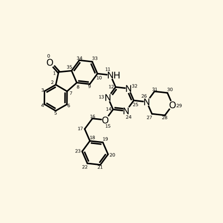 O=C1c2ccccc2-c2cc(Nc3nc(OCCc4ccccc4)nc(N4CCOCC4)n3)ccc21